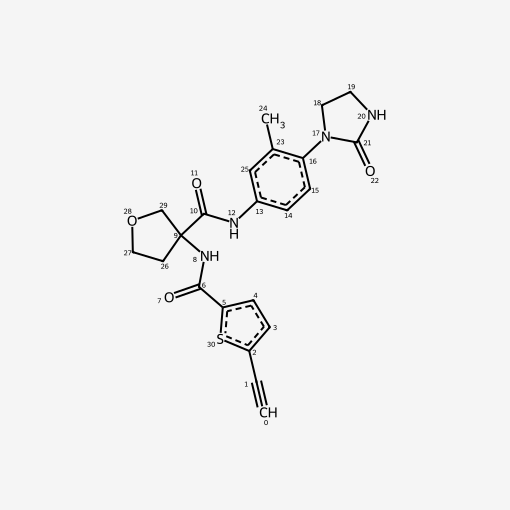 C#Cc1ccc(C(=O)NC2(C(=O)Nc3ccc(N4CCNC4=O)c(C)c3)CCOC2)s1